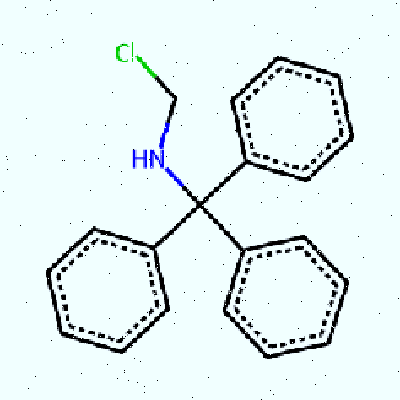 ClCNC(c1ccccc1)(c1ccccc1)c1ccccc1